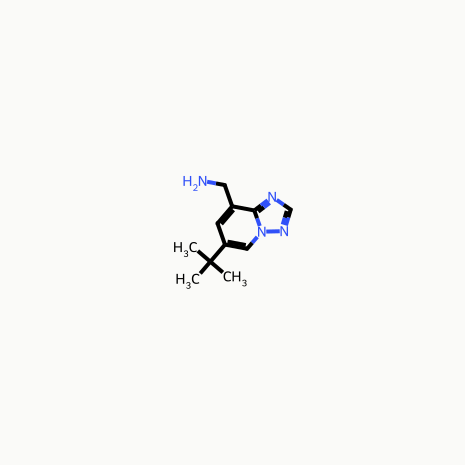 CC(C)(C)c1cc(CN)c2ncnn2c1